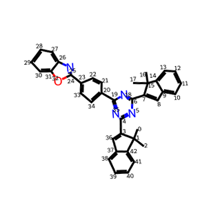 CC1(C)C(c2nc(C3=Cc4ccccc4C3(C)C)nc(-c3ccc(-c4nc5ccccc5o4)cc3)n2)=Cc2ccccc21